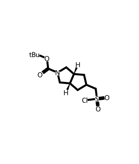 CC(C)(C)OC(=O)N1C[C@H]2CC(CS(=O)(=O)Cl)C[C@H]2C1